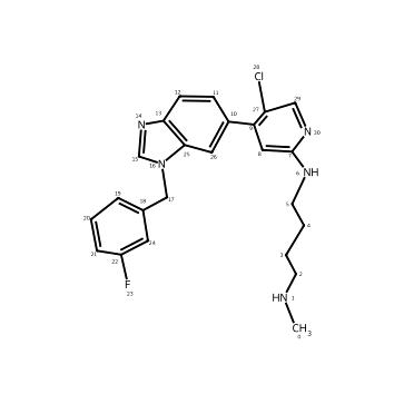 CNCCCCNc1cc(-c2ccc3ncn(Cc4cccc(F)c4)c3c2)c(Cl)cn1